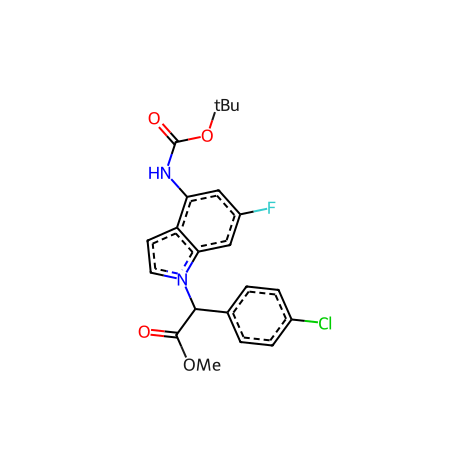 COC(=O)C(c1ccc(Cl)cc1)n1ccc2c(NC(=O)OC(C)(C)C)cc(F)cc21